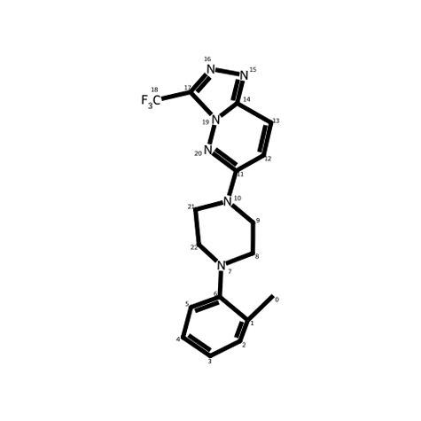 Cc1ccccc1N1CCN(c2ccc3nnc(C(F)(F)F)n3n2)CC1